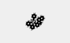 CC1(C)c2cccc(-c3nc(-c4ccccc4)nc(-c4ccccc4-c4ccccc4)n3)c2-c2ccc3ccccc3c21